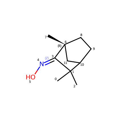 CC1(C)/C(=N\O)[C@]2(C)CCC1C2